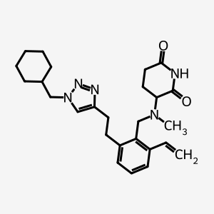 C=Cc1cccc(CCc2cn(CC3CCCCC3)nn2)c1CN(C)C1CCC(=O)NC1=O